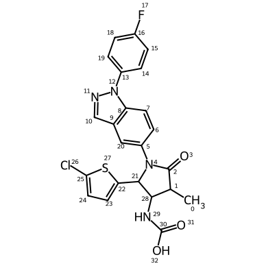 CC1C(=O)N(c2ccc3c(cnn3-c3ccc(F)cc3)c2)C(c2ccc(Cl)s2)C1NC(=O)O